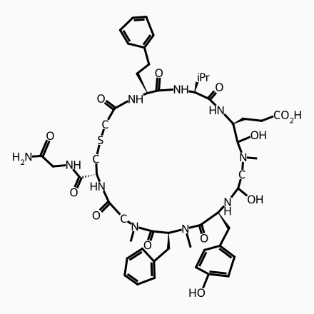 CC(C)[C@@H]1NC(=O)[C@H](CCc2ccccc2)NC(=O)CSC[C@@H](C(=O)NCC(N)=O)NC(=O)CN(C)C(=O)[C@H](Cc2ccccc2)N(C)C(=O)[C@H](Cc2ccc(O)cc2)NC(O)CN(C)C(O)[C@H](CCC(=O)O)NC1=O